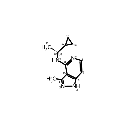 Cc1n[nH]c2ccnc(N[C@H](C)C3CC3)c12